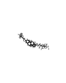 C[C@]12CC[C@@H]3c4ccc(OCCOS(C)(=O)=O)cc4CC[C@H]3[C@@H]1CC[C@@H]2OCCCOC(C(F)(F)F)(C(F)(F)F)C(F)(F)F